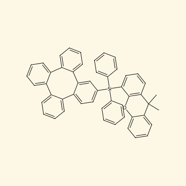 CC1(C)c2ccccc2Oc2c1cccc2[Si](c1ccccc1)(c1ccccc1)c1ccc2c(c1)-c1ccccc1-c1ccccc1-c1ccccc1-2